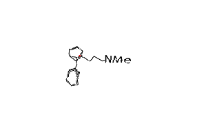 CNCCCC1=C(c2ccccc2)C2CCC1CC2